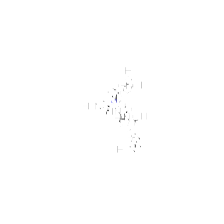 Nc1cc(SCC2=C(C(=O)O)N3C(=O)C(NC(=O)/C(=N\O[C@@H](C(=O)O)c4ccc(O)c(O)c4)c4csc(N)n4)[C@@H]3SC2)ncn1